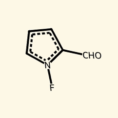 O=Cc1cccn1F